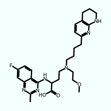 COCCN(CCCCc1ccc2c(n1)NCCC2)CCC(Nc1nc(C)nc2cc(F)ccc12)C(=O)O